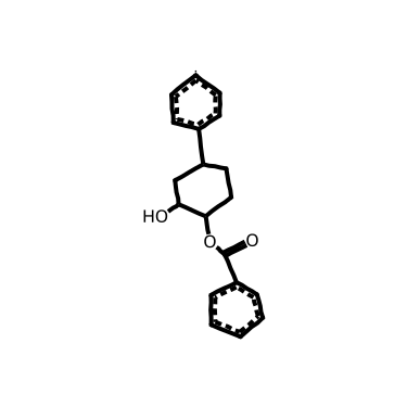 O=C(OC1CCC(c2cc[c]cc2)CC1O)c1ccccc1